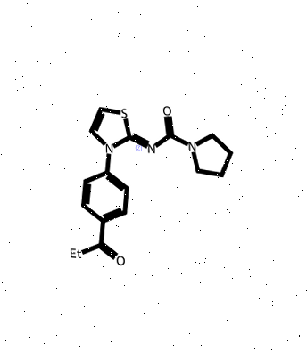 CCC(=O)c1ccc(-n2ccs/c2=N\C(=O)N2CCCC2)cc1